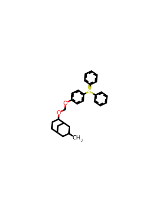 CC1CC2CCC(OCOc3ccc([SH](c4ccccc4)c4ccccc4)cc3)C(C1)C2